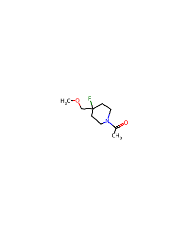 COCC1(F)CCN(C(C)=O)CC1